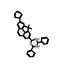 CC1(C)c2cc(-c3ccccc3)cc3ccc4cc(C5N=C(c6ccccc6)NC(c6ccccc6)N5)cc1c4c23